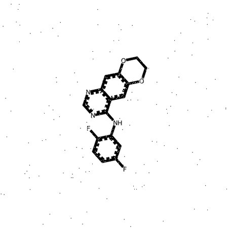 Fc1ccc(F)c(Nc2ncnc3cc4c(cc23)OCCO4)c1